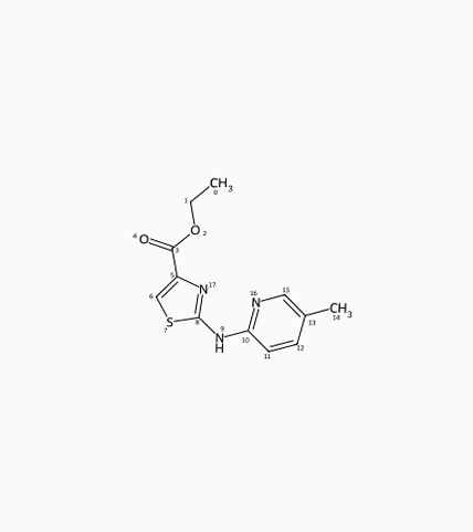 CCOC(=O)c1csc(Nc2ccc(C)cn2)n1